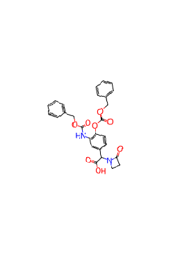 O=C(Nc1cc(C(C(=O)O)N2CCC2=O)ccc1OC(=O)OCc1ccccc1)OCc1ccccc1